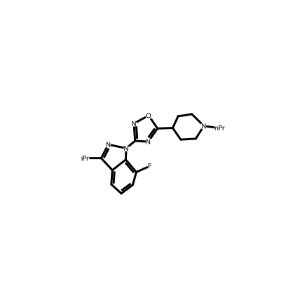 CCCN1CCC(c2nc(-n3nc(C(C)C)c4cccc(F)c43)no2)CC1